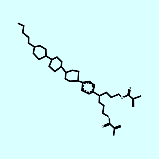 C=C(C)C(=O)OCCCC(CCCOC(=O)C(=C)C)c1ccc(C2CCC(C3CCC(C4CCC(CCCCC)CC4)CC3)CC2)cc1